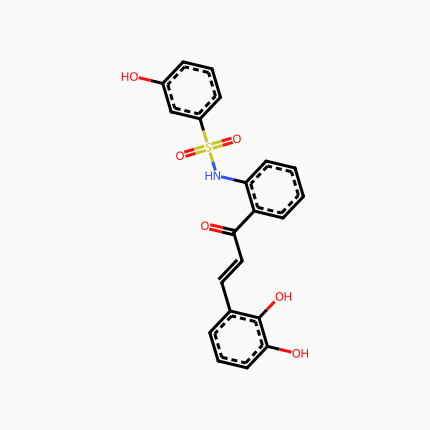 O=C(C=Cc1cccc(O)c1O)c1ccccc1NS(=O)(=O)c1cccc(O)c1